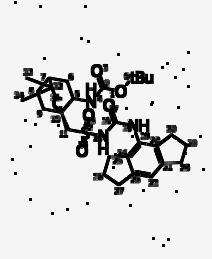 CC(C)(C)OC(=O)NC1CC2CC[C@]1(CS(=O)(=O)NC(=O)Nc1c3c(cc4c1CCC4)CCC3)CC2(C)C